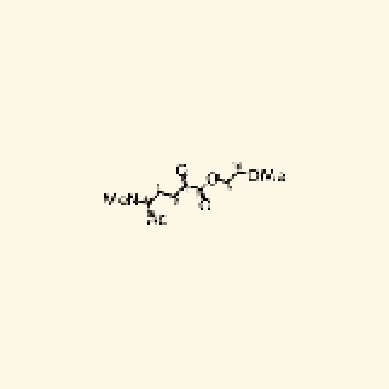 CN[C@@H](CCC(=O)C(=O)OCCOC)C(C)=O